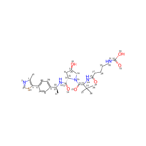 Cc1ncsc1-c1ccc([C@H](C)NC(=O)[C@@H]2C[C@@H](O)CN2C(=O)C(NC(=O)CCCCNC(=O)O)C(C)(C)C)cc1